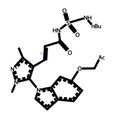 CCCCNS(=O)(=O)NC(=O)/C=C/c1c(C)nn(C)c1-n1ccc2ccc(OCC(C)=O)cc21